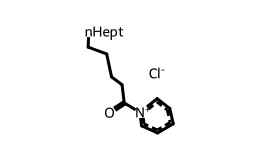 CCCCCCCCCCCC(=O)[n+]1ccccc1.[Cl-]